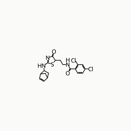 O=C(NCCC1SC(NC2CC3C=CC2C3)=NC1=O)c1ccc(Cl)cc1Cl